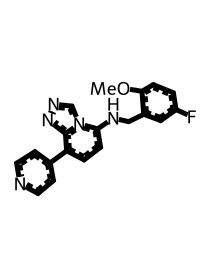 COc1ccc(F)cc1CNc1ccc(-c2ccncc2)c2nncn12